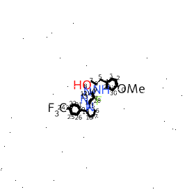 COc1ccc(C[C@H](CO)Nc2ncnc(N3CCCC3c3ccc(C(F)(F)F)cc3)c2F)cc1